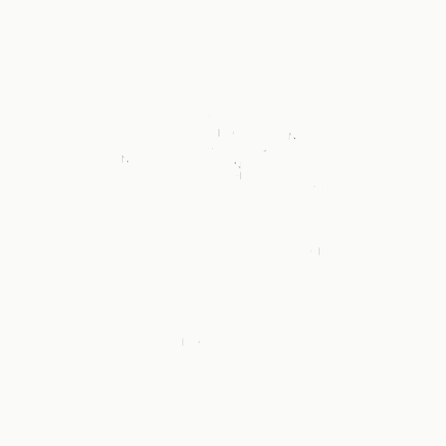 CCc1cncc(C(=O)NC2CC3CCC(C2)N3C(C)c2ccc(OCCO)c(C)c2C)c1